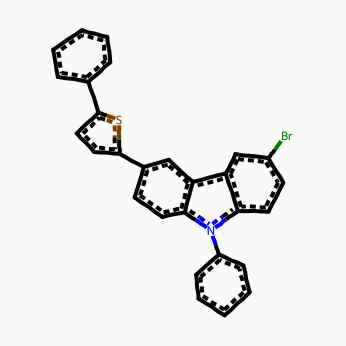 Brc1ccc2c(c1)c1cc(-c3ccc(-c4ccccc4)s3)ccc1n2-c1ccccc1